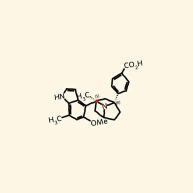 COc1cc(C)c2[nH]ccc2c1CN1C2CC[C@]1(c1ccc(C(=O)O)cc1)C[C@@H](C)C2